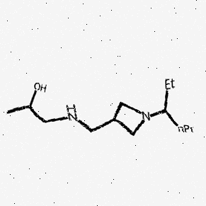 CCCC(CC)N1CC(CNCC(C)O)C1